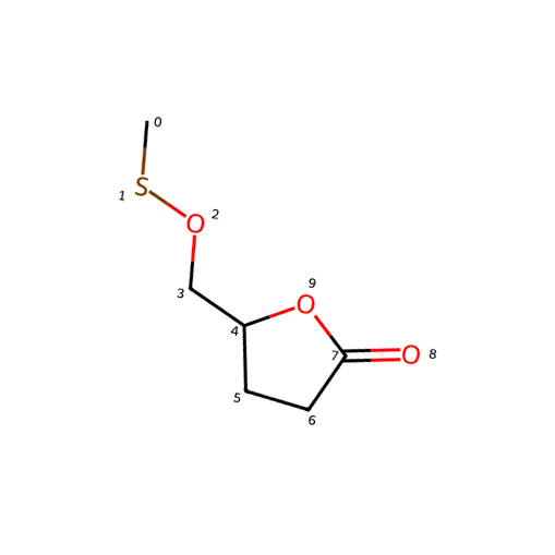 CSOCC1CCC(=O)O1